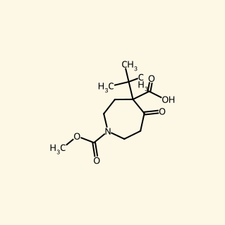 COC(=O)N1CCC(=O)C(C(=O)O)(C(C)(C)C)CC1